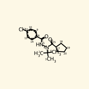 CC(C)(C)N(NC(=O)c1ccc(Cl)cc1)C(=O)C1CCCC1